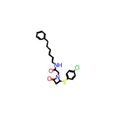 O=C(CN1C(=O)CC1Sc1ccc(Cl)cc1)NCCCCCCc1ccccc1